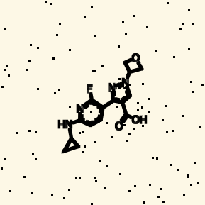 O=C(O)c1cn(C2COC2)nc1-c1ccc(NC2CC2)nc1F